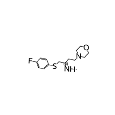 [NH][C@H](CCN1CCOCC1)CSc1ccc(F)cc1